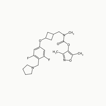 Cc1noc(C)c1OC(=O)N(C)CC1CC(Oc2cc(F)c(CN3CCCC3)c(F)c2)C1